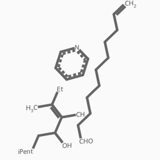 C=CCCCCCCCCC=O.CCCC(C)CC(O)C(C)=C(C)CC.c1ccncc1